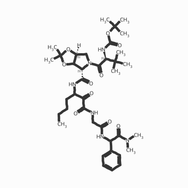 CCCCC(NC(=O)[C@@H]1C2OC(C)(C)O[C@H]2CN1C(=O)[C@@H](NC(=O)OC(C)(C)C)C(C)(C)C)C(=O)C(=O)NCC(=O)NC(C(=O)N(C)C)c1ccccc1